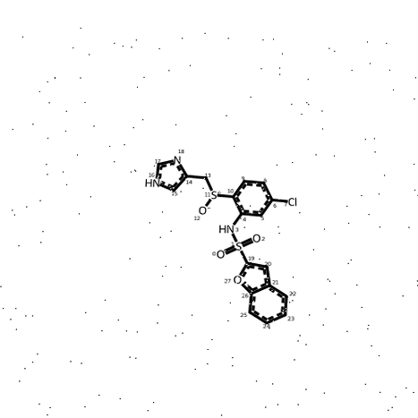 O=S(=O)(Nc1cc(Cl)ccc1[S+]([O-])Cc1c[nH]cn1)c1cc2ccccc2o1